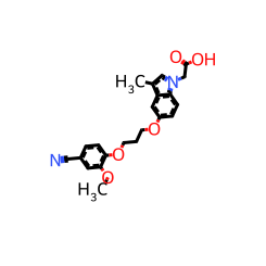 COc1cc(C#N)ccc1OCCCOc1ccc2c(c1)c(C)cn2CC(=O)O